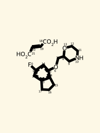 Fc1cc2c(c(OCC3CNCCO3)c1)CCC2.O=C(O)C=CC(=O)O